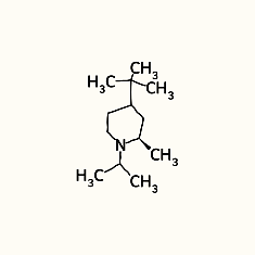 CC(C)N1CCC(C(C)(C)C)C[C@H]1C